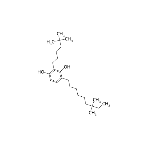 CCC(C)(C)CCCCCCc1ccc(O)c(CCCCC(C)(C)C)c1O